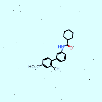 Cc1cc(C(=O)O)ccc1-c1cccc(NC(=O)C2CCCCC2)c1